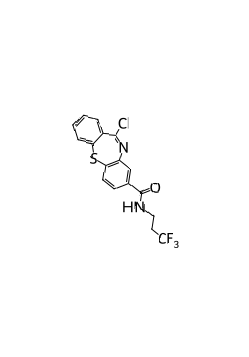 O=C(NCCC(F)(F)F)c1ccc2c(c1)N=C(Cl)c1ccccc1S2